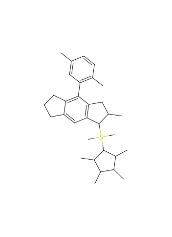 Cc1ccc(C)c(-c2c3c(cc4c2CC(C)C4S(C)(C)C2C(C)C(C)C(C)C2C)CCC3)c1